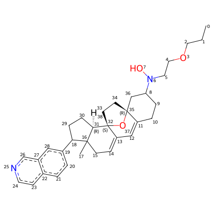 CCCOCCN(O)C1CCC2=CC3=CCC4(C)C(c5ccc6ccncc6c5)CC[C@H]4[C@@]34CC[C@]2(C1)O4